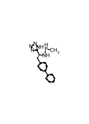 CPN[C@@H](Cc1ccc(-c2ccccc2)cc1)c1nnn[nH]1